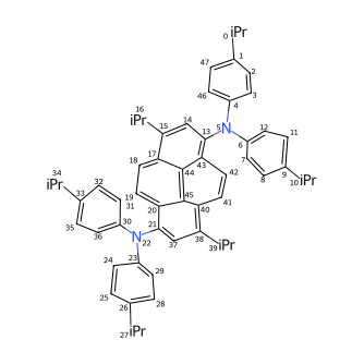 CC(C)c1ccc(N(c2ccc(C(C)C)cc2)c2cc(C(C)C)c3ccc4c(N(c5ccc(C(C)C)cc5)c5ccc(C(C)C)cc5)cc(C(C)C)c5ccc2c3c54)cc1